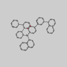 c1ccc(-c2ccccc2-c2ccccc2N(c2ccc(-c3cccc(-c4cccc5ccccc45)c3)cc2)c2cccc3ccccc23)cc1